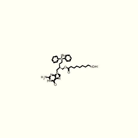 CCCCCCCCCCCCCCCCCC(=O)OC[C@H](CC[Si](c1ccccc1)(c1ccccc1)C(C)(C)C)Cn1cnc2c(=O)[nH]c(N)nc21